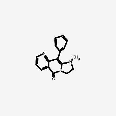 CN1CCn2c1c(-c1ccccc1)c1ncccc1c2=O